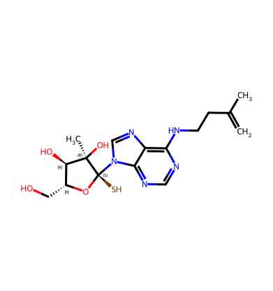 C=C(C)CCNc1ncnc2c1ncn2[C@]1(S)O[C@H](CO)[C@@H](O)[C@@]1(C)O